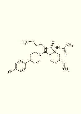 C=C[C@@H]1CC[C@@H](CN2CCC(c3ccc(Cl)cc3)CC2)[C@@](NC(C)=O)(C(=O)NCCCC)C1